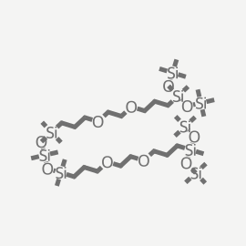 C[Si](C)(C)O[Si](C)(CCCOCCOCCC[Si](C)(C)O[Si](C)(C)O[Si](C)(C)CCCOCCOCCC[Si](C)(O[Si](C)(C)C)O[Si](C)(C)C)O[Si](C)(C)C